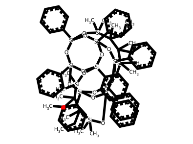 CCC1(C)C(C)(CC)[Si](C)(C)O[Si]2(c3ccccc3)O[Si]3(c4ccccc4)O[Si]4(c5ccccc5)O[Si](c5ccccc5)(O[Si]5(c6ccccc6)O[Si](c6ccccc6)(O2)O[Si](c2ccccc2)(O3)O[Si](C)(C)C(C)(CC)C(C)(CC)[Si](C)(C)O[Si](c2ccccc2)(O4)O5)O[Si]1(C)C